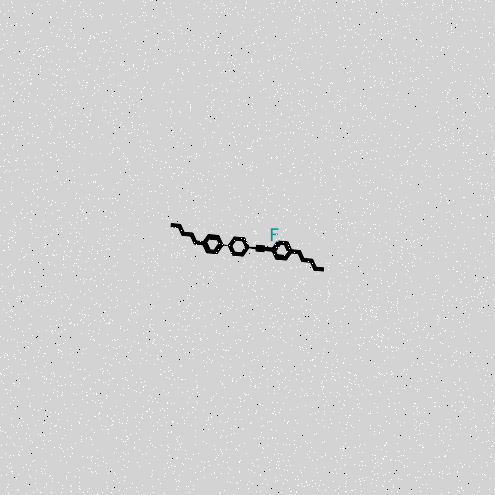 CCCCCc1ccc([C@H]2CC[C@H](C#Cc3ccc(CCCCC)cc3F)CC2)cc1